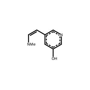 CN/C=C\c1cncc(O)c1